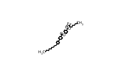 CCCCCCCCCCc1ccc(-c2ccc(C(=O)Oc3ccc(C(=O)OC(CCCCCC)C(F)(F)F)cc3)cc2)cc1